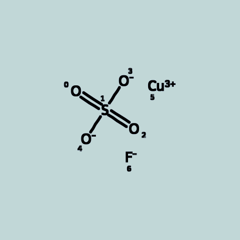 O=S(=O)([O-])[O-].[Cu+3].[F-]